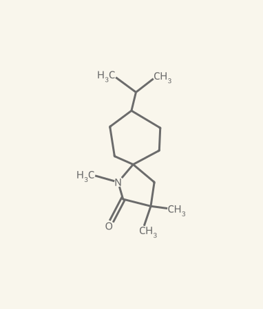 CC(C)C1CCC2(CC1)CC(C)(C)C(=O)N2C